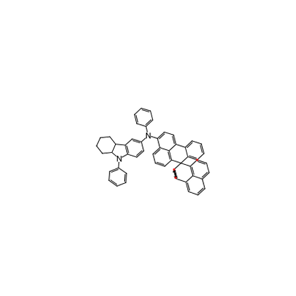 c1ccc(N(c2ccc3c(c2)C2CCCCC2N3c2ccccc2)c2ccc3c4c(cccc24)C2(c4ccccc4-c4cccc5cccc2c45)c2ccccc2-3)cc1